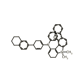 C[Si]1(C)C2=C(C(N(C3=CCC(c4ccc5c(c4)CCCC5)C=C3)c3ccccc3)=CCC2)c2c1ccc1c2sc2ccccc21